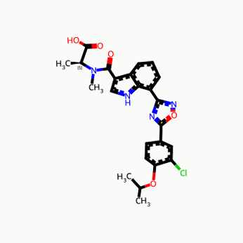 CC(C)Oc1ccc(-c2nc(-c3cccc4c(C(=O)N(C)[C@@H](C)C(=O)O)c[nH]c34)no2)cc1Cl